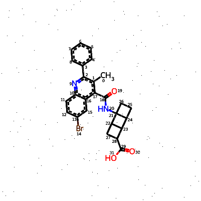 Cc1c(-c2ccccc2)nc2ccc(Br)cc2c1C(=O)NC12C3C4C1C1C2C3C41C(=O)O